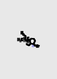 C[C@H](CC#N)[C@H]1CCC2/C(=C/Br)CCC[C@@]21C